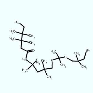 CC(=O)CC(C)(C)C(C)(C)CC(=O)NC(C)(C)CC(C)(C)COC(C)(C)OCC(C)(C)CC(C)C